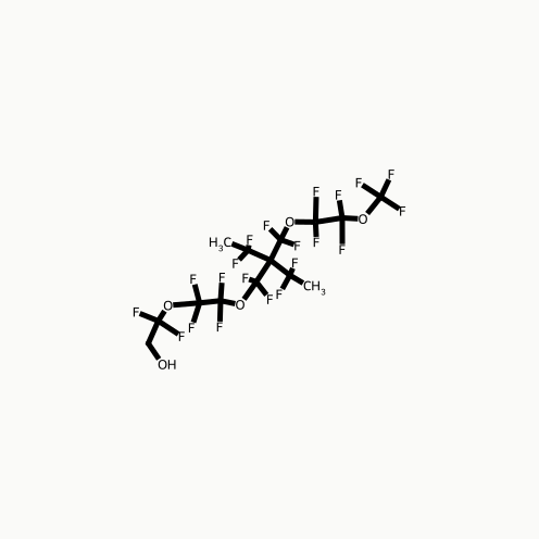 CC(F)(F)C(C(C)(F)F)(C(F)(F)OC(F)(F)C(F)(F)OC(F)(F)F)C(F)(F)OC(F)(F)C(F)(F)OC(F)(F)CO